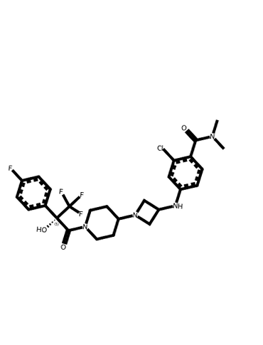 CN(C)C(=O)c1ccc(NC2CN(C3CCN(C(=O)[C@@](O)(c4ccc(F)cc4)C(F)(F)F)CC3)C2)cc1Cl